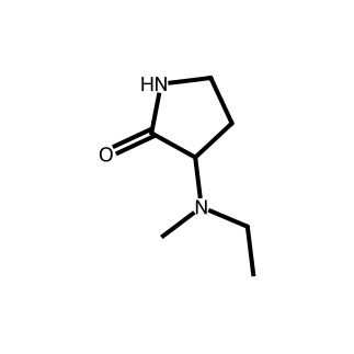 CCN(C)C1CCNC1=O